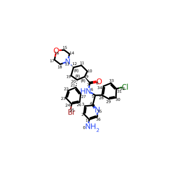 Nc1ccc(C(NC(=O)[C@@H]2CC[C@@H](N3CCOCC3)C[C@H]2c2ccc(Br)cc2)c2ccc(Cl)cc2)nc1